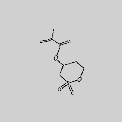 C=C(C)C(=O)OC1CCOS(=O)(=O)C1